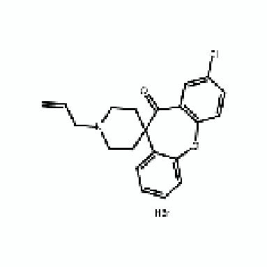 Br.C=CCN1CCC2(CC1)C(=O)c1cc(Cl)ccc1Oc1ccccc12